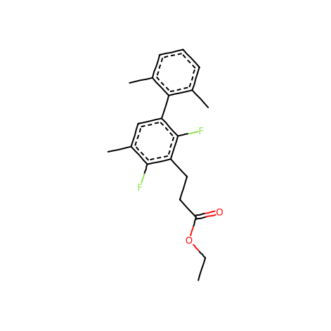 CCOC(=O)CCc1c(F)c(C)cc(-c2c(C)cccc2C)c1F